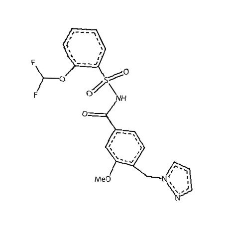 COc1cc(C(=O)NS(=O)(=O)c2ccccc2OC(F)F)ccc1Cn1cccn1